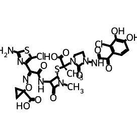 CN1C(=O)C(NC(=O)/C(=N\OC2(C(=O)O)CC2)c2nc(N)sc2Cl)[C@H]1S[C@](C)(C(=O)O)N1CCN(NC(=O)C(=O)c2ccc(O)c(O)c2Cl)C1=O